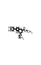 CCOC(=O)C1=Cc2ccc(C3=CNCNC3)cc2NC(N=NN)C1